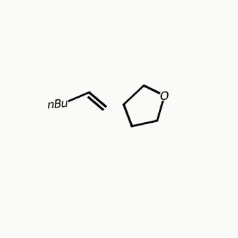 C1CCOC1.C=CCCCC